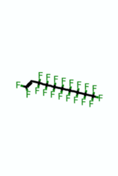 FC(F)=CC(F)(F)C(F)(F)C(F)(F)C(F)(F)C(F)(F)C(F)(F)C(F)(F)C(F)(F)F